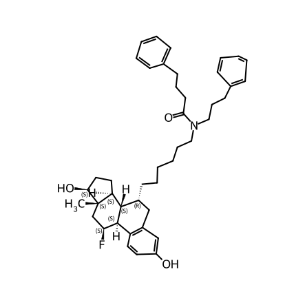 C[C@]12C[C@H](F)[C@@H]3c4ccc(O)cc4C[C@@H](CCCCCCN(CCCc4ccccc4)C(=O)CCCc4ccccc4)[C@H]3[C@@H]1CC[C@@H]2O